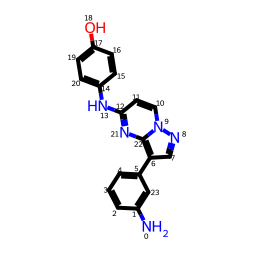 Nc1cccc(-c2cnn3ccc(Nc4ccc(O)cc4)nc23)c1